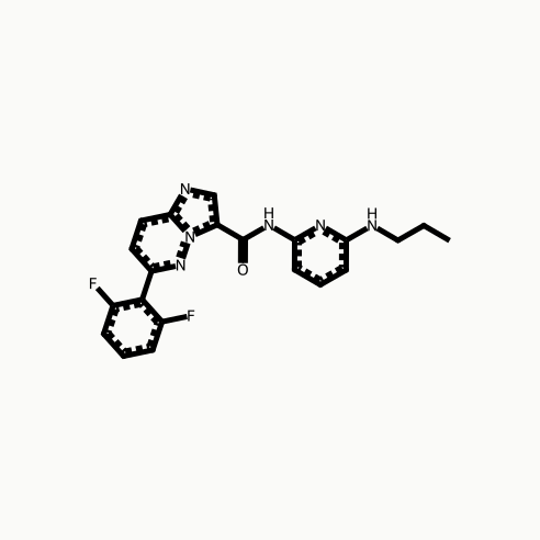 CCCNc1cccc(NC(=O)c2cnc3ccc(-c4c(F)cccc4F)nn23)n1